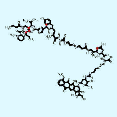 CCCC(=O)OCC(C(=O)[C@@H](NC(=O)[C@H]1CCCCN1C)C(C)CC)[C@H](C[C@@H](OC(C)=O)c1nc(C(=O)N[C@@H](Cc2ccc(O)cc2)C[C@H](C)C(=O)NNC(=O)OCCSSCCC(=O)NC[C@H](N)C(=O)N[C@@H](CC(=O)O)C(=O)N[C@@H](CSSCCOC(=O)NC2CC(O[C@H]3C[C@](O)(C(=O)CO)C(O)c4cc5c(c(O)c43)C(=O)c3c(OC)cccc3C5=O)OC(C)C2O)C(=O)O)cs1)C(C)C